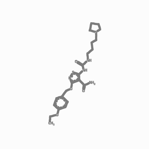 CCOc1ccc(COc2nsc(NC(=O)NCCCCN3CCCC3)c2C(N)=O)cc1